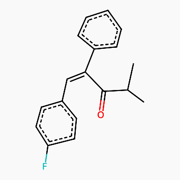 CC(C)C(=O)C(=Cc1ccc(F)cc1)c1ccccc1